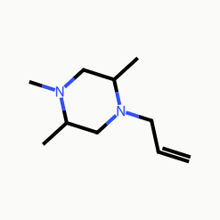 C=CCN1CC(C)N(C)CC1C